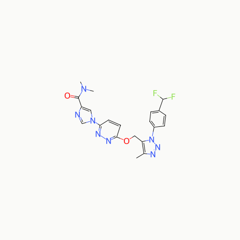 Cc1nnn(-c2ccc(C(F)F)cc2)c1COc1ccc(-n2cnc(C(=O)N(C)C)c2)nn1